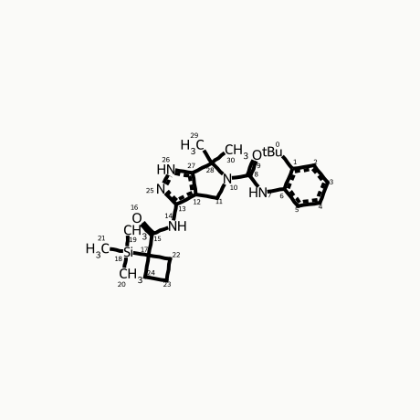 CC(C)(C)c1ccccc1NC(=O)N1Cc2c(NC(=O)C3([Si](C)(C)C)CCC3)n[nH]c2C1(C)C